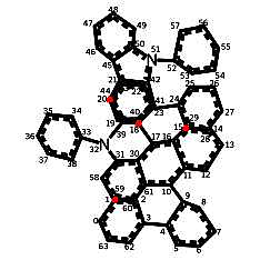 c1ccc(-c2ccccc2-c2c3ccccc3c(-c3ccccc3-c3ccccc3)c3c(N(c4ccccc4)c4ccc5c(c4)c4ccccc4n5-c4ccccc4)cccc23)cc1